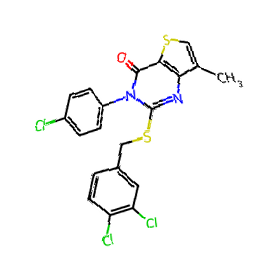 Cc1csc2c(=O)n(-c3ccc(Cl)cc3)c(SCc3ccc(Cl)c(Cl)c3)nc12